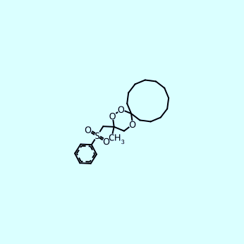 CC1(CS(=O)(=O)c2ccccc2)COC2(CCCCCCCCCCC2)OO1